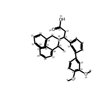 COc1ccc(-c2cccc(C(CC(=O)O)N(Cc3ccccc3)C(C)c3ccccc3)c2)cc1OC